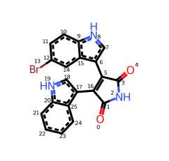 O=C1NC(=O)C(c2c[nH]c3ccc(Br)cc23)=C1c1c[nH]c2ccccc12